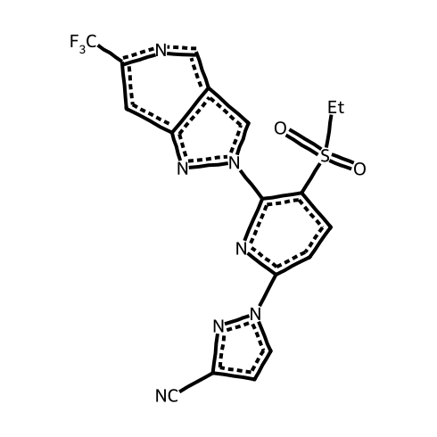 CCS(=O)(=O)c1ccc(-n2ccc(C#N)n2)nc1-n1cc2cnc(C(F)(F)F)cc2n1